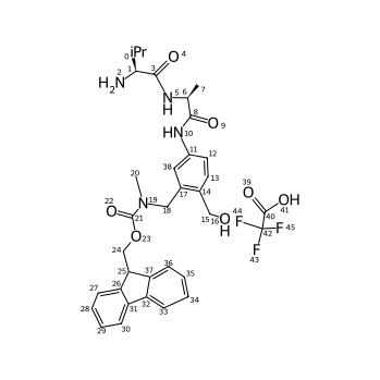 CC(C)[C@H](N)C(=O)N[C@@H](C)C(=O)Nc1ccc(CO)c(CN(C)C(=O)OCC2c3ccccc3-c3ccccc32)c1.O=C(O)C(F)(F)F